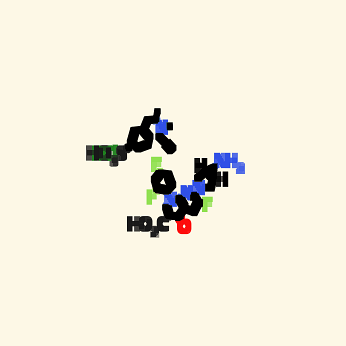 C#CCN(C)[C@H](C)Cc1ccccc1.CS(=O)(=O)O.Cl.N[C@@H]1[C@H]2CN(c3nc4c(cc3F)c(=O)c(C(=O)O)cn4-c3ccc(F)cc3F)C[C@@H]12